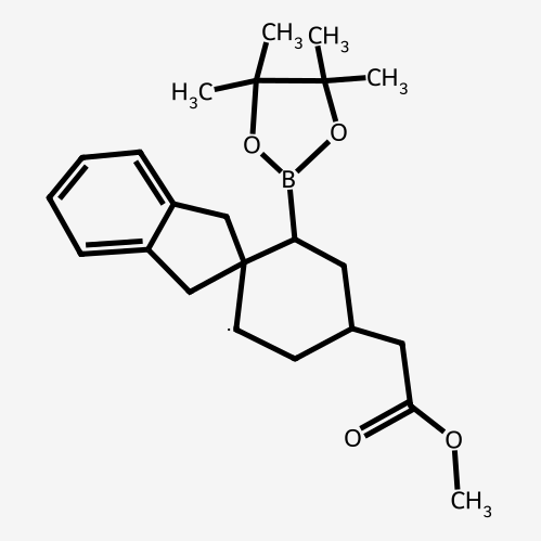 COC(=O)CC1C[CH]C2(Cc3ccccc3C2)C(B2OC(C)(C)C(C)(C)O2)C1